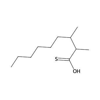 CCCCCCC(C)C(C)C(O)=S